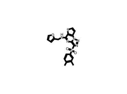 Cc1ccc(S(=O)(=O)c2nnn3c2nc(NCc2ccco2)c2sccc23)cc1C